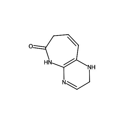 O=C1CC=CC2=C(N=CCN2)N1